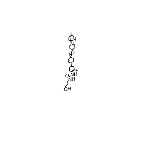 Cc1cnc(N2CCC(ON=C3CCC(c4ccc(NC(=O)NCCCO)c(F)c4)CC3)CC2)nc1